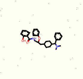 CN(C)C(c1ccccc1)C1CCC(CC(CNC(=O)c2ccccc2O)Oc2ccccc2)CC1